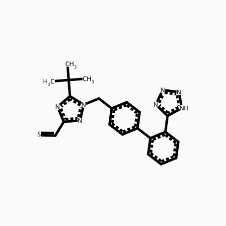 CC(C)(C)c1nc(C=S)nn1Cc1ccc(-c2ccccc2-c2nnn[nH]2)cc1